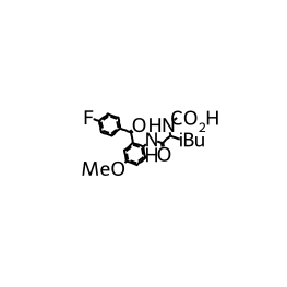 CCC(C)C(NC(=O)O)C(=O)Nc1ccc(OC)cc1C(=O)c1ccc(F)cc1